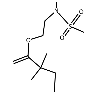 C=C(OCCN(C)S(C)(=O)=O)C(C)(C)CC